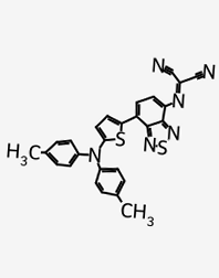 Cc1ccc(N(c2ccc(C)cc2)c2ccc(-c3ccc(N=C(C#N)C#N)c4nsnc34)s2)cc1